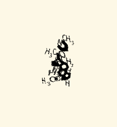 COC1C[C@H]2[C@@H]3CC[C@H]([C@H](C)Oc4ccc(C)nc4)[C@@]3(C)CC[C@@H]2[C@@]2(C)CC[C@@H]3CC132